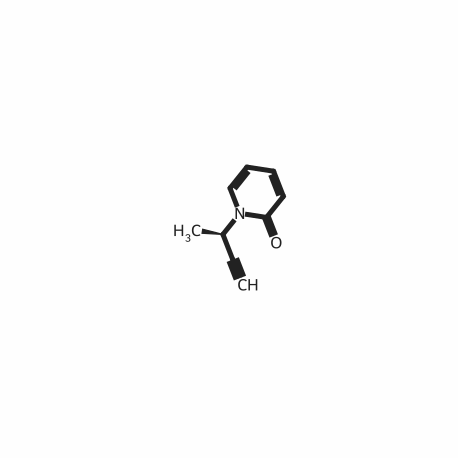 C#C[C@@H](C)n1ccccc1=O